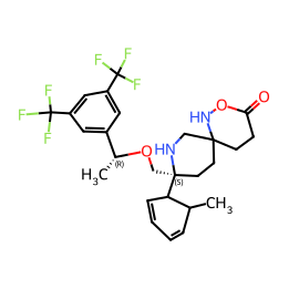 CC1C=CC=CC1[C@]1(CO[C@H](C)c2cc(C(F)(F)F)cc(C(F)(F)F)c2)CCC2(CCC(=O)ON2)CN1